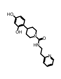 O=C(NCCc1ccccn1)N1CCC(c2ccc(O)cc2O)CC1